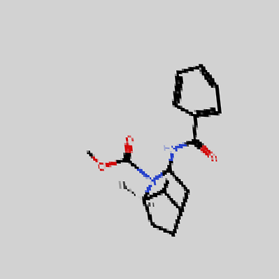 COC(=O)N1C(NC(=O)c2ccccc2)CC2CC[C@@H]1C2C